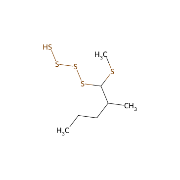 CCCC(C)C(SC)SSSS